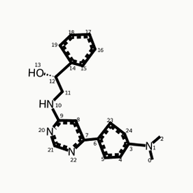 CN(C)c1ccc(-c2cc(NC[C@H](O)c3ccccc3)ncn2)cc1